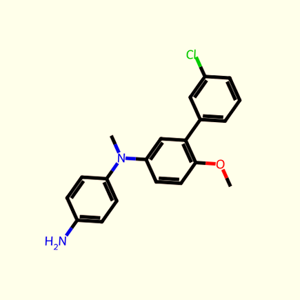 COc1ccc(N(C)c2ccc(N)cc2)cc1-c1cccc(Cl)c1